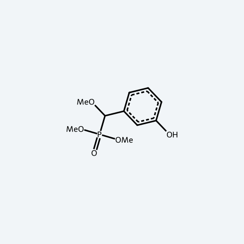 COC(c1cccc(O)c1)P(=O)(OC)OC